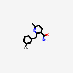 Cc1ccc(C(N)=O)c(Cc2cccc(C#N)c2)n1